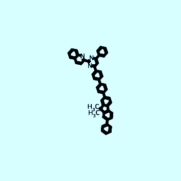 CC1(C)c2cc(-c3ccccc3)ccc2-c2ccc(-c3ccc(-c4ccc(-c5cc(-c6ccccc6)nc(-c6ccc7ccccc7n6)n5)cc4)cc3)cc21